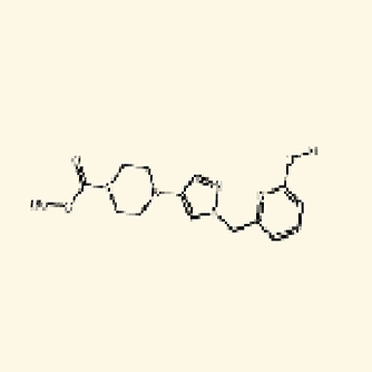 CCOc1cccc(Cn2cc(N3CCN(C(=O)OC(C)(C)C)CC3)cn2)n1